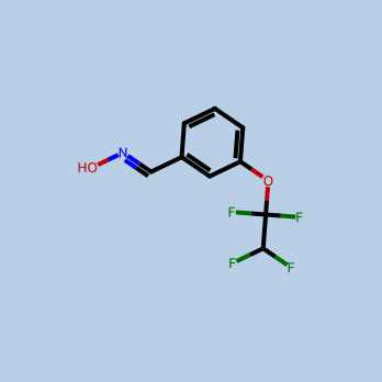 ON=Cc1cccc(OC(F)(F)C(F)F)c1